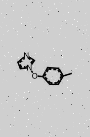 Cc1ccc(On2ccnc2)cc1